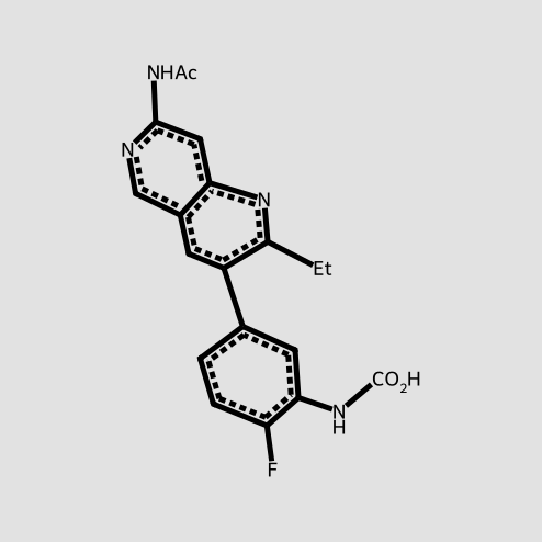 CCc1nc2cc(NC(C)=O)ncc2cc1-c1ccc(F)c(NC(=O)O)c1